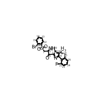 CCn1c(C(=O)C(=N)CS(=O)(=O)c2ccccc2Br)nc(-c2c(F)cccc2F)c1C